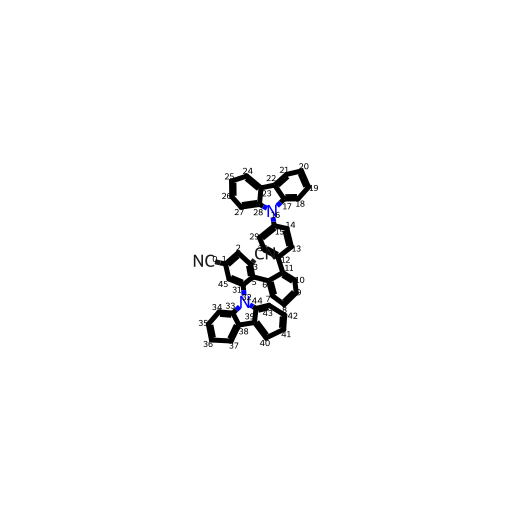 N#Cc1cc(C#N)c(-c2ccccc2-c2ccc(-n3c4ccccc4c4ccccc43)cc2)c(-n2c3ccccc3c3ccccc32)c1